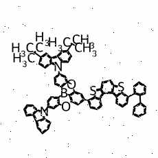 CC(C)(C)c1ccc2c(c1)c1cc(C(C)(C)C)ccc1n2-c1ccc2c(c1)Oc1cc(-c3cccc4c3sc3ccc5sc6c(-c7ccccc7-c7ccccc7)cccc6c5c34)cc3c1B2c1ccc(-n2c4ccccc4c4ccccc42)cc1O3